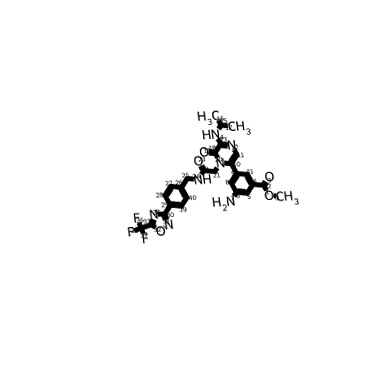 COC(=O)c1cc(N)cc(-c2cnc(NC(C)C)c(=O)n2CC(=O)NCc2ccc(-c3noc(C(F)(F)F)n3)cc2)c1